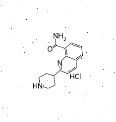 Cl.NC(=O)c1cccc2ccc(C3CCNCC3)nc12